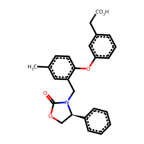 Cc1ccc(Oc2cccc(CC(=O)O)c2)c(CN2C(=O)OC[C@@H]2c2ccccc2)c1